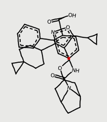 O=C(O)c1ccc(NC(=O)N2C3CCC2CC(OCc2c(C4CCC5(CC4)CC5)noc2C2CC2)C3)cc1-c1ccccc1